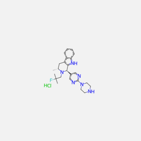 C[C@@H]1Cc2c([nH]c3ccccc23)[C@@H](c2cnc(N3CCNCC3)nc2)N1CC(C)(C)F.Cl